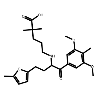 COc1cc(C(=O)C(CCc2ccc(C)o2)NCCCC(C)(C)C(=O)O)cc(OC)c1C